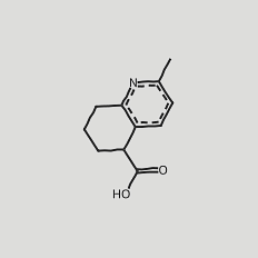 Cc1ccc2c(n1)CCCC2C(=O)O